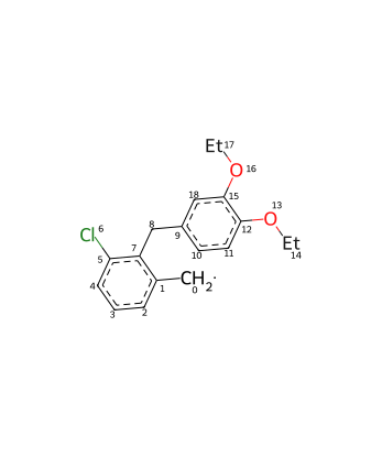 [CH2]c1cccc(Cl)c1Cc1ccc(OCC)c(OCC)c1